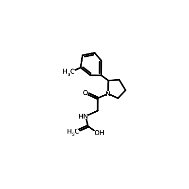 C=C(O)NCC(=O)N1CCCC1c1cccc(C)c1